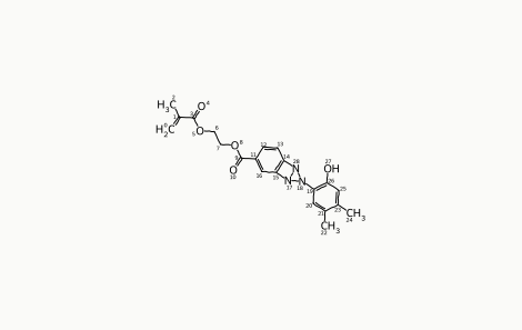 C=C(C)C(=O)OCCOC(=O)c1ccc2c(c1)n1n(-c3cc(C)c(C)cc3O)n21